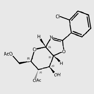 CC(=O)OC[C@H]1O[C@@H]2N=C(c3ccccc3Cl)O[C@@H]2[C@@H](O)[C@@H]1OC(C)=O